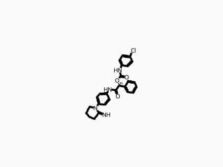 N=C1CCCCN1c1ccc(NC(=O)[C@H](OC(=O)Nc2ccc(Cl)cc2)c2ccccc2)cc1